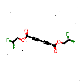 O=C(C#CC#CC(=O)OCC(F)F)OCC(F)F